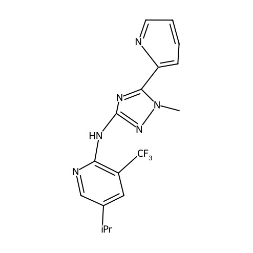 CC(C)c1cnc(Nc2nc(-c3ccccn3)n(C)n2)c(C(F)(F)F)c1